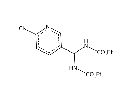 CCOC(=O)NC(NC(=O)OCC)c1ccc(Cl)nc1